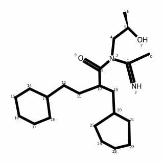 CC(=N)N(C[C@@H](C)O)C(=O)C(CCC1CCCCC1)CC1CCCCC1